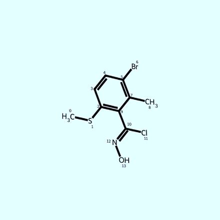 CSc1ccc(Br)c(C)c1C(Cl)=NO